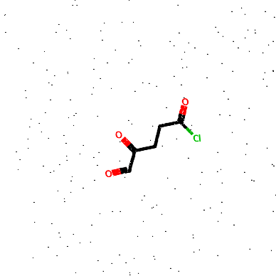 O=CC(=O)CCC(=O)Cl